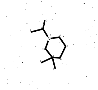 CC(C)N1CCCC(C)(C)C1